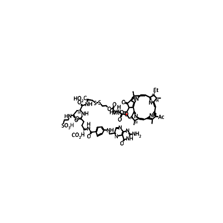 CC[C@H]1c2cc3[nH]c4c(c3C)C(=O)C(C(=O)OC)c4c3nc(cc4[nH]c(cc(n2)[C@@H]1C)c(C(C)=O)c4C)[C@@H](C)[C@@H]3CCC(=O)NNC(=O)OCCSSC[C@H](NC(=O)[C@H](CC(=O)NCCS(=O)(=O)O)NC(=O)CC[C@H](NC(=O)c1ccc(NCc2cnc3nc(N)[nH]c(=O)c3n2)cc1)C(=O)O)C(=O)O